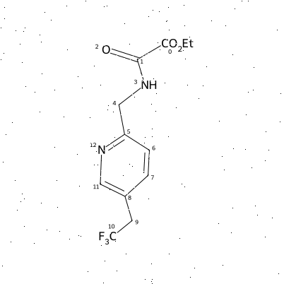 CCOC(=O)C(=O)NCc1ccc(CC(F)(F)F)cn1